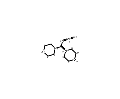 [N-]=[N+]=NC(N1CCOCC1)=[N+]1CCOCC1